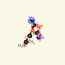 COc1ccc(C(=O)Oc2ccc(CSP3(=O)OC[C@H]4O[C@@H](n5cnc6c(N)ncnc65)[C@H](F)[C@@H]4OP(=O)(O)OC[C@H]4OC(n5ccc(=O)[nH]c5=O)[C@H](F)[C@@H]4O3)cc2)c(C)c1